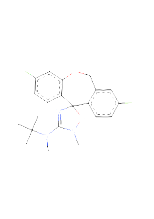 CN1OC2(N=C1N(C)C(C)(C)C)c1ccc(F)cc1COc1cc(F)ccc12